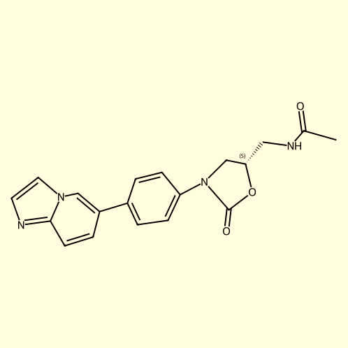 CC(=O)NC[C@H]1CN(c2ccc(-c3ccc4nccn4c3)cc2)C(=O)O1